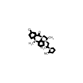 C=C(CN[C@@H](C)CN1C(=O)c2cc(Cl)ccc2N(C)c2ccccc21)N1CCCC1C#N